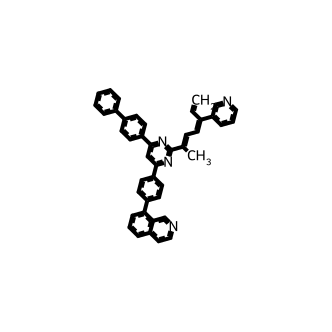 C=C/C(=C\C=C(/C)c1nc(-c2ccc(-c3ccccc3)cc2)cc(-c2ccc(-c3cccc4ccncc34)cc2)n1)c1cccnc1